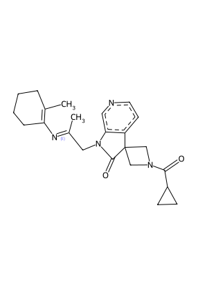 CC1=C(/N=C(\C)CN2C(=O)C3(CN(C(=O)C4CC4)C3)c3ccncc32)CCCC1